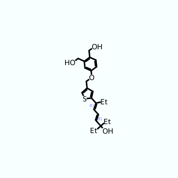 CC/C(=C\C=C\C(O)(CC)CC)c1cc(COc2ccc(CO)c(CO)c2)cs1